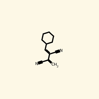 C=C(C#N)/C(C#N)=C/C1CCCCC1